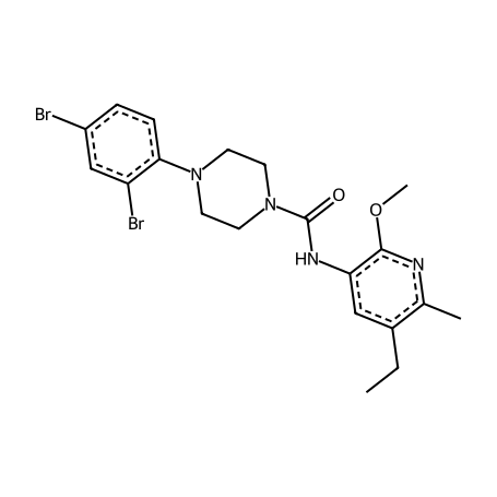 CCc1cc(NC(=O)N2CCN(c3ccc(Br)cc3Br)CC2)c(OC)nc1C